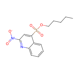 CCCCCOS(=O)(=O)c1cc([N+](=O)[O-])nc2ccccc12